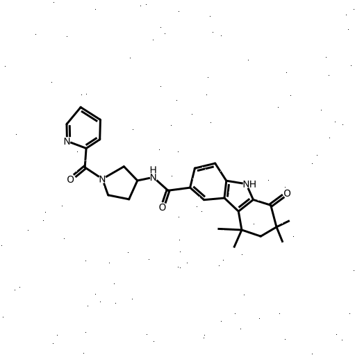 CC1(C)CC(C)(C)c2c([nH]c3ccc(C(=O)NC4CCN(C(=O)c5ccccn5)C4)cc23)C1=O